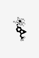 CC(C)(C)[Si](C)(C)Oc1ccc2c(c1)C1CC1C2CC(=O)O